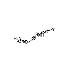 CC(C)CCOCCOCCNC(=O)CCN1CCC(CCCC2CCN(CCC(N)=O)CC2)CC1